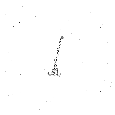 CC(C)(C)OC(=O)COCCOCCOCCOCCCCCCBr